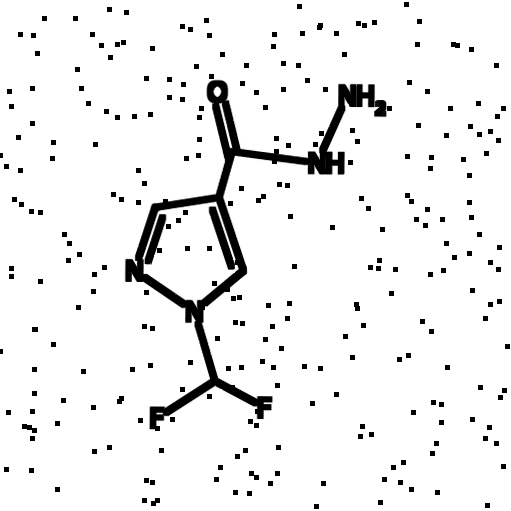 NNC(=O)c1cnn(C(F)F)c1